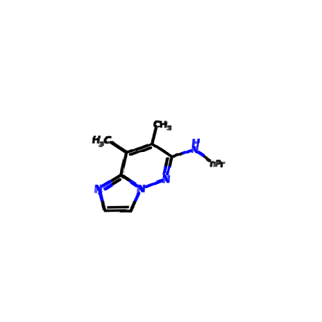 CCCNc1nn2ccnc2c(C)c1C